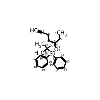 C#CCCC(CC)O[Si](c1ccccc1)(c1ccccc1)C(C)(C)C